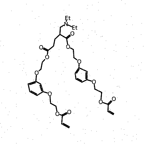 C=CC(=O)OCCOc1cccc(OCCOC(=O)CCC(CN(CC)CC)C(=O)OCCOc2cccc(OCCOC(=O)C=C)c2)c1